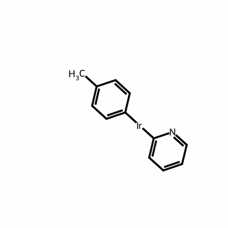 Cc1cc[c]([Ir][c]2ccccn2)cc1